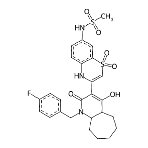 CS(=O)(=O)Nc1ccc2c(c1)S(=O)(=O)C=C(C1=C(O)C3CCCCCC3N(Cc3ccc(F)cc3)C1=O)N2